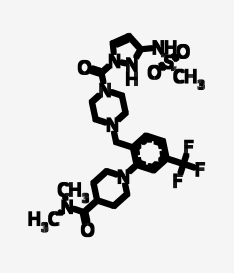 CN(C)C(=O)C1CCN(c2cc(C(F)(F)F)ccc2CN2CCN(C(=O)N3C=CC(NS(C)(=O)=O)N3)CC2)CC1